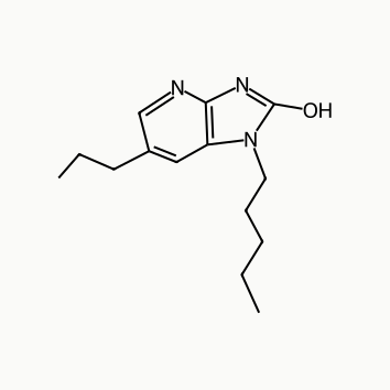 CCCCCn1c(O)nc2ncc(CCC)cc21